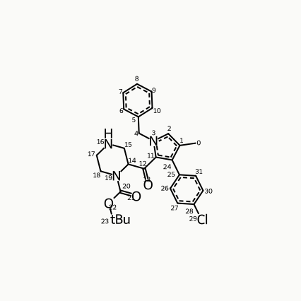 Cc1cn(Cc2ccccc2)c(C(=O)C2CNCCN2C(=O)OC(C)(C)C)c1-c1ccc(Cl)cc1